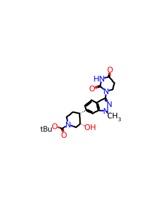 Cn1nc(N2CCC(=O)NC2=O)c2ccc([C@H]3CCN(C(=O)OC(C)(C)C)C[C@H]3O)cc21